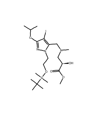 COC(=O)[C@H](O)CN(C)Cc1c(I)c(OC(C)C)nn1CCO[Si](C)(C)C(C)(C)C